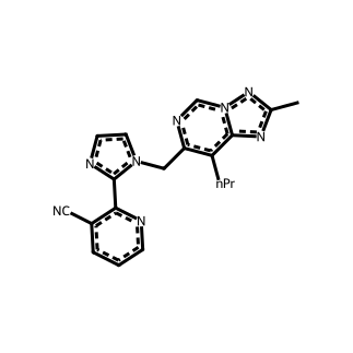 CCCc1c(Cn2ccnc2-c2ncccc2C#N)ncn2nc(C)nc12